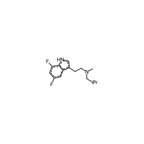 CC(C)CN(C)CCc1c[nH]c2c(F)cc(F)cc12